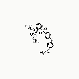 CCOP(=O)(Cc1ccccc1S(=O)(=O)c1ccc(Oc2ccc(OC)cc2)cc1)OCC